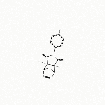 CC(=O)Oc1ccc(N2C(=O)[C@@H]3C4C=CC(O4)[C@@H]3C2=O)cc1